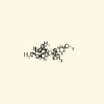 Cc1ccc(S(=O)(=O)N(C)C2CN(C(C)(C(=O)O)c3ccccc3OC(=O)N(C)C)C2)cc1